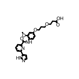 COc1cc(OCCCOCCC(=O)O)ccc1NC(=O)c1cccc(-c2ccn[nH]2)n1